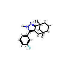 Cn1nc2c(c1-c1cccc(F)c1)C[C@H]1CCC[C@@H]2C1